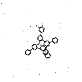 Fc1ccc(-c2ccc(-n3c4ccc(-c5ccccc5)cc4c4cc(-c5ccccc5)ccc43)c(-c3nc(-c4ccccc4)nc(-c4ccccc4)n3)c2)cc1F